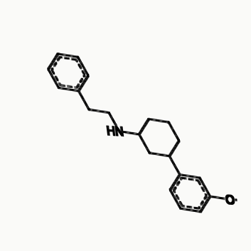 [O]c1cccc(C2CCCC(NCCc3ccccc3)C2)c1